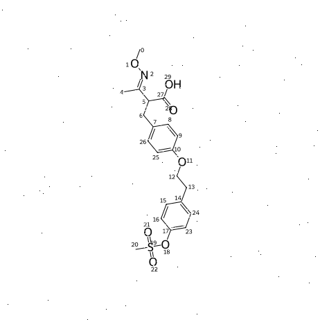 CO/N=C(\C)C(Cc1ccc(OCCc2ccc(OS(C)(=O)=O)cc2)cc1)C(=O)O